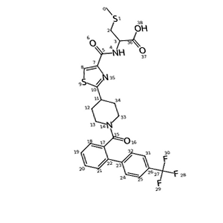 CSCC(NC(=O)c1csc(C2CCN(C(=O)c3ccccc3-c3ccc(C(F)(F)F)cc3)CC2)n1)C(=O)O